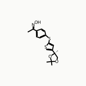 C/C(=N/O)c1ccc(Sc2cc([C@@]3(C)COC(C)(C)O3)cs2)cc1